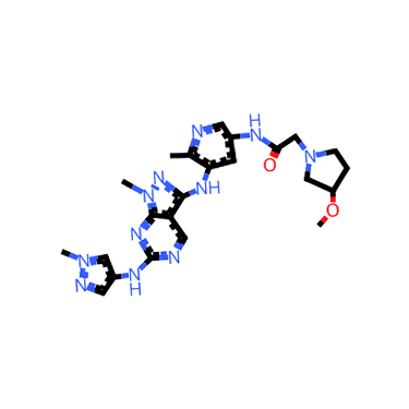 COC1CCN(CC(=O)Nc2cnc(C)c(Nc3nn(C)c4nc(Nc5cnn(C)c5)ncc34)c2)C1